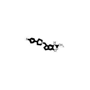 CC(=O)Nc1cc2c(cc1Cl)CCC2CN1CCC(c2ccc(F)cc2)CC1